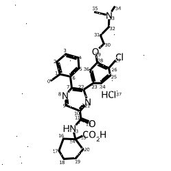 Cc1ccccc1-c1ncc(C(=O)NC2(C(=O)O)CCCCC2)nc1-c1ccc(Cl)c(OCCCN(C)C)c1.Cl